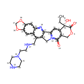 CC[C@@]1(O)C(=O)OCc2c1cc1n(c2=O)Cc2c-1nc1cc3c(cc1c2CNCCN1CCNCC1)OCO3